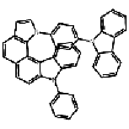 c1ccc(-n2c3ccccc3c3c4c(ccc5ccn(-c6ccc(-n7c8ccccc8c8ccccc87)cc6)c54)ccc32)cc1